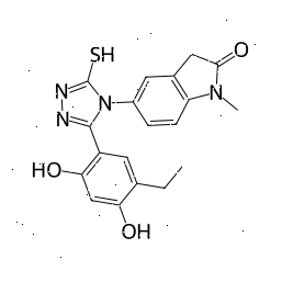 CCc1cc(-c2nnc(S)n2-c2ccc3c(c2)CC(=O)N3C)c(O)cc1O